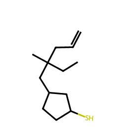 C=CCC(C)(CC)CC1CCC(S)C1